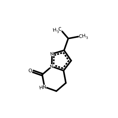 CC(C)c1cc2n(n1)C(=O)NCC2